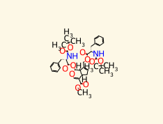 COC(=O)C1=CO[C@@H](OC(=O)[C@H](Cc2ccccc2)NC(=O)OC(C)(C)C)[C@@H]2C(COC(=O)[C@H](Cc3ccccc3)NC(=O)OC(C)(C)C)=CC[C@H]12